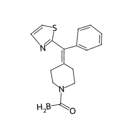 BC(=O)N1CCC(=C(c2ccccc2)c2nccs2)CC1